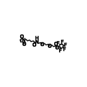 O=C(CCCCCN1C(=O)C=CC1=O)NCCOCCCOCCC(=O)Oc1c(F)c(F)c(F)c(F)c1F